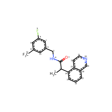 CC(C(=O)NCc1cc(F)cc(C(F)(F)F)c1)c1cccc2cnccc12